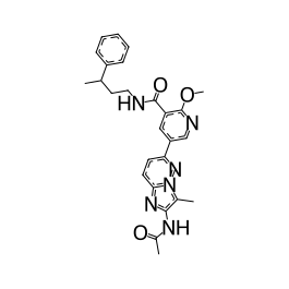 COc1ncc(-c2ccc3nc(NC(C)=O)c(C)n3n2)cc1C(=O)NCCC(C)c1ccccc1